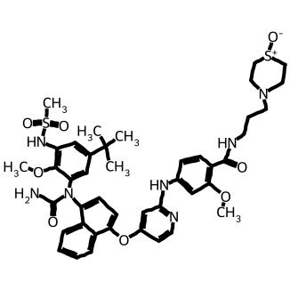 COc1cc(Nc2cc(Oc3ccc(N(C(N)=O)c4cc(C(C)(C)C)cc(NS(C)(=O)=O)c4OC)c4ccccc34)ccn2)ccc1C(=O)NCCCN1CC[S+]([O-])CC1